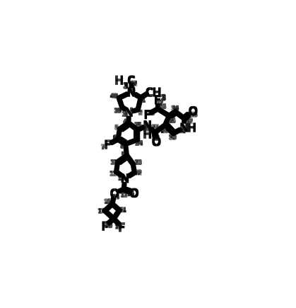 CC1CN(c2cc(F)c(C3=CCN(C(=O)OC4CC(F)(F)C4)CC3)cc2NC(=O)c2c[nH]c(=O)cc2C(F)F)CCN1C